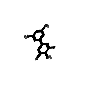 CC1C(=O)C=C(c2cc(C(F)(F)F)cc(C(F)(F)F)c2)C=C1F